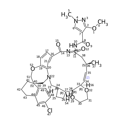 COc1nn(C)cc1C(=O)N[S@@]1(=O)=NC(=O)c2ccc3c(c2)N(C[C@@H]2CC[C@H]2[C@H]2OCCO[C@@H]2/C=C\[C@H](C)C1)C[C@@]1(CCCc2cc(Cl)ccc21)CO3